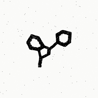 S=C1C=C(c2ccccc2)c2ccccc21